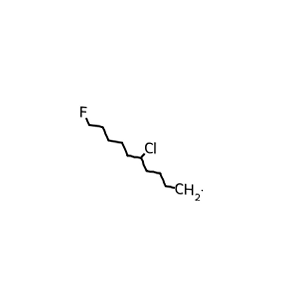 [CH2]CCCC(Cl)CCCCCF